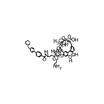 C[C@@H]1NC(=O)[C@@H](N(C)C(=O)[C@H](CCCCN)NC(=O)CCNC(=O)c2ccc(-c3ccc(CC4CCCCC4)cc3)cc2)c2ccc(O)c(c2)-c2cc(ccc2O)C[C@@H](C(=O)O)NC1=O